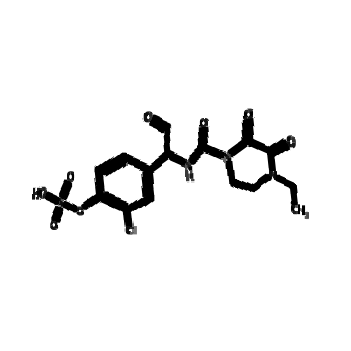 CCN1CCN(C(=O)NC([C]=O)c2ccc(OS(=O)(=O)O)c(Cl)c2)C(=O)C1=O